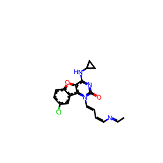 C/C=N/C=C\C=C\n1c(=O)nc(NC2CC2)c2oc3ccc(Cl)cc3c21